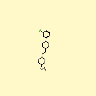 CC1CCC(CCC2CCC(c3cccc(F)c3)CC2)CC1